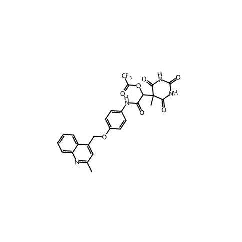 Cc1cc(COc2ccc(NC(=O)C(OC(=O)C(F)(F)F)C3(C)C(=O)NC(=O)NC3=O)cc2)c2ccccc2n1